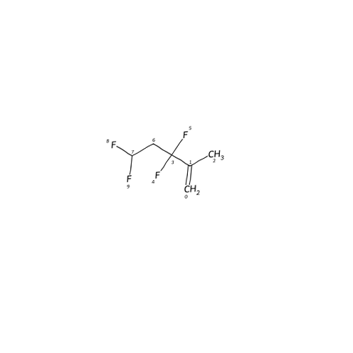 C=C(C)C(F)(F)CC(F)F